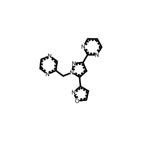 c1cnc(-c2cc(-c3ccon3)n(Cc3cnccn3)n2)nc1